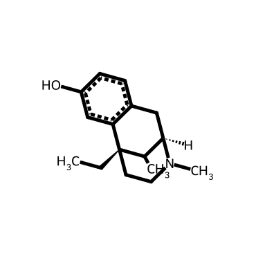 CC[C@@]12CCN(C)[C@H](Cc3ccc(O)cc31)C2C